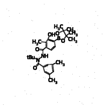 Cc1cc(C)cc(C(=O)N(NC(=O)c2ccc(B3OC(C)(C)C(C)(C)O3)c(O)c2C)C(C)(C)C)c1